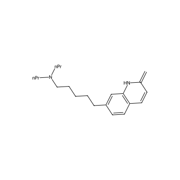 C=C1C=Cc2ccc(CCCCCN(CCC)CCC)cc2N1